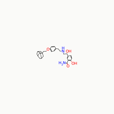 NC(=O)c1cc([C@@H](O)CNCCc2ccc(OCCC34CC5CC(CC(C5)C3)C4)cc2)ccc1O